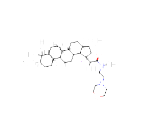 CC(=O)O[C@@H]1CC[C@@]2(C)C(CC[C@]3(C)C2CCC2C4[C@](C(=O)O)(CC[C@@]4(I)C(C)C(=O)N(C)CCN4CCOCC4)CC[C@]23C)C1(C)C